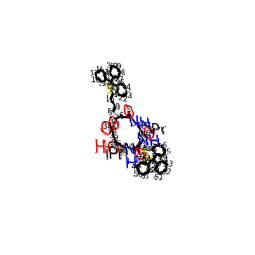 CC(C)C[C@H]1NC(=O)C[C@@H](C=CCCSC(c2ccccc2)(c2ccccc2)c2ccccc2)OC(=O)C[C@@H](O)[C@@H](C(C)C)NC(=O)[C@@H](CSC(c2ccccc2)(c2ccccc2)c2ccccc2)NC1=O